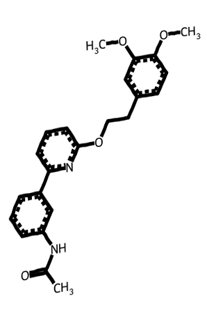 COc1ccc(CCOc2cccc(-c3cccc(NC(C)=O)c3)n2)cc1OC